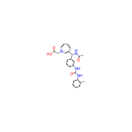 CC(=O)NC(C1=CN(CC(=O)O)C=CC=C1)c1cccc(NC(=O)Nc2ccccc2C)c1